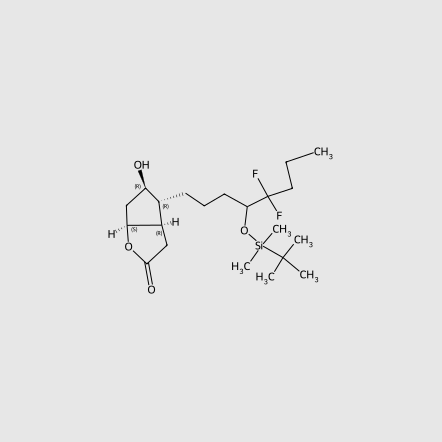 CCCC(F)(F)C(CCC[C@@H]1[C@H]2CC(=O)O[C@H]2C[C@H]1O)O[Si](C)(C)C(C)(C)C